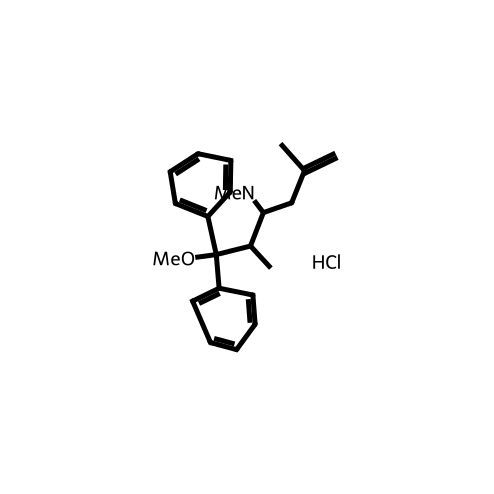 C=C(C)CC(NC)C(C)C(OC)(c1ccccc1)c1ccccc1.Cl